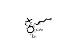 CO[C@@H]1[C@H](O)CO[C@]2(COC(C)(C)O2)[C@@H]1O/C=C/CCC(C)C